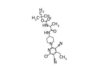 CCc1c(C#N)c(Cl)nc(N2CCC(NC(=O)[C@H](C)NC(=O)OC(C)(C)C)CC2)c1C#N